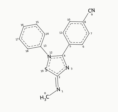 CN=c1nc(-c2ccc(C#N)cc2)n(-c2ccccc2)s1